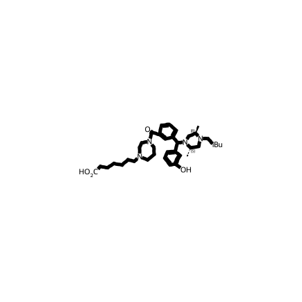 CCC(C)CN1C[C@H](C)N(C(c2cccc(O)c2)c2cccc(C(=O)N3CCCN(CCCCCCC(=O)O)CC3)c2)C[C@H]1C